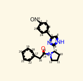 O=Nc1ccc(-c2c[nH]c([C@@H]3CCCN3C(=O)Cc3ccccc3)n2)cc1